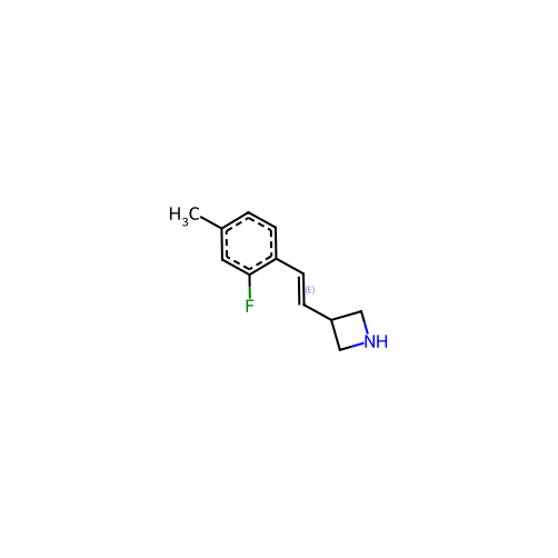 Cc1ccc(/C=C/C2CNC2)c(F)c1